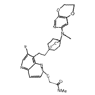 CNC(=O)COc1ccc2ncc(F)c(CCC34CCC(N(C)c5cc6c(cn5)OCCO6)(CC3)CO4)c2n1